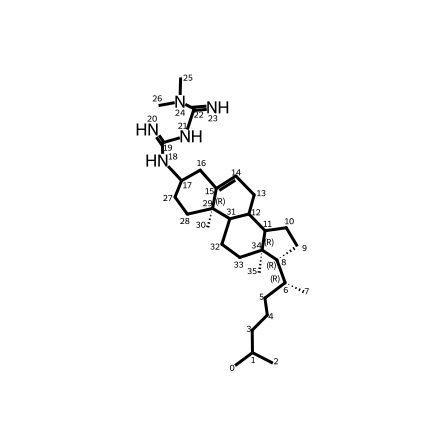 CC(C)CCC[C@@H](C)[C@H]1CCC2C3CC=C4CC(NC(=N)NC(=N)N(C)C)CC[C@]4(C)C3CC[C@@]21C